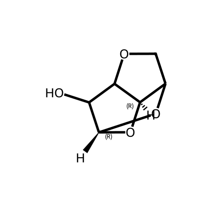 OC1C2OCC3O[C@@H]1O[C@H]32